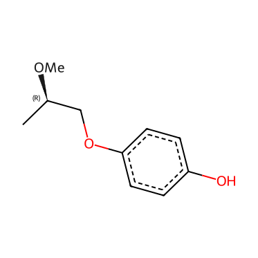 CO[C@H](C)COc1ccc(O)cc1